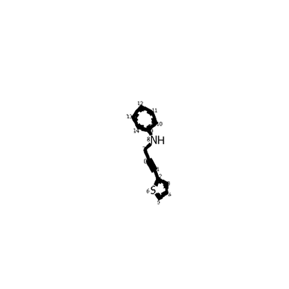 C(#Cc1cccs1)CNc1ccccc1